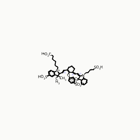 CC1(C)C(/C=C/C2=C(Oc3ccc(S(=O)(=O)O)cc3)C(=C/C=C3/N(CCCCS(=O)(=O)O)c4ccccc4C3(C)C)/CCC2)=[N+](CCCCCC(=O)O)c2ccc(S(=O)(=O)O)cc21